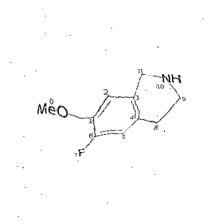 COc1cc2c(cc1F)CCNC2